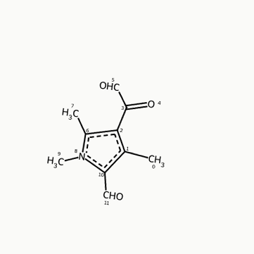 Cc1c(C(=O)C=O)c(C)n(C)c1C=O